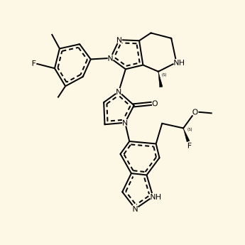 CO[C@@H](F)Cc1cc2[nH]ncc2cc1-n1ccn(-c2c3c(nn2-c2cc(C)c(F)c(C)c2)CCN[C@H]3C)c1=O